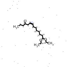 CCCC(Cl)C/C=C\CCCCCCC(OCC)OCC